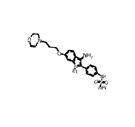 CCCS(=O)(=O)Nc1ccc(-c2c(N)c3ccc(OCCCN4CCOCC4)cc3n2CC)cc1